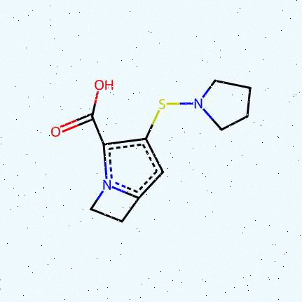 O=C(O)c1c(SN2CCCC2)cc2n1CC2